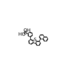 OB(O)c1cccc(-c2cccc3c2sc2c(-c4cccc5ccccc45)cccc23)c1